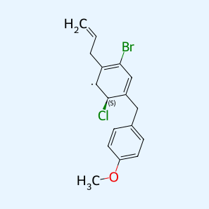 C=CCC1=C(Br)C=C(Cc2ccc(OC)cc2)[C@@H](Cl)[CH]1